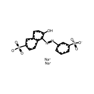 O=S(=O)([O-])c1cccc(N=Nc2c(O)ccc3cc(S(=O)(=O)[O-])ccc23)c1.[Na+].[Na+]